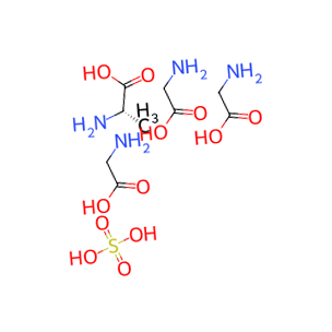 C[C@H](N)C(=O)O.NCC(=O)O.NCC(=O)O.NCC(=O)O.O=S(=O)(O)O